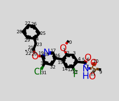 COc1cc(C(=O)NS(C)(=O)=O)c(F)cc1-c1cnc(O[C@H](C)Cc2ccccc2)c(Cl)c1